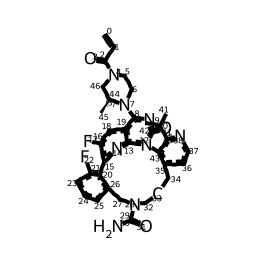 C=CC(=O)N1CCN(c2nc(=O)n3c4nc(c(F)cc24)-c2c(F)cccc2CN(C(N)=O)CCCc2ccnc(C(C)C)c2-3)[C@@H](C)C1